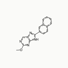 COc1ncc2nc(-c3ccc4ccccc4c3)[nH]c2n1